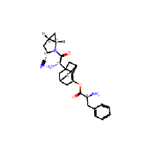 N#C[C@@H]1C[C@@H]2C[C@@H]2N1C(=O)[C@@H](N)C12CC3CC(OC(=O)[C@@H](N)Cc4ccccc4)=C1C(C3)C2